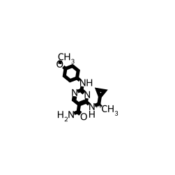 COC1CCC(Nc2ncc(C(N)=O)c(N[C@H](C)C3CC3)n2)CC1